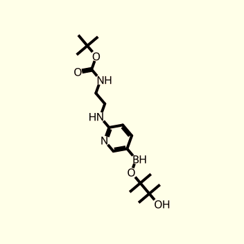 CC(C)(C)OC(=O)NCCNc1ccc(BOC(C)(C)C(C)(C)O)cn1